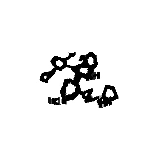 Cl.Fc1ccc(Cl)cc1-c1c(-c2ccncc2OC[C@@H]2CCCN2)[nH]c2cccnc12